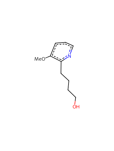 COc1cccnc1CCCCO